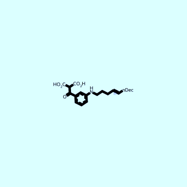 CCCCCCCCCC/C=C/CCCNc1cccc(C(=O)C(C(=O)O)C(=O)O)c1